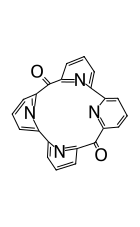 O=C1c2cccc(n2)-c2cccc(n2)C(=O)c2cccc(n2)-c2cccc1n2